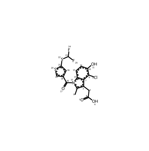 Cc1c(CC(=O)O)c2c(Cl)c(O)ccc2n1C(=O)c1csc(SC(F)F)c1